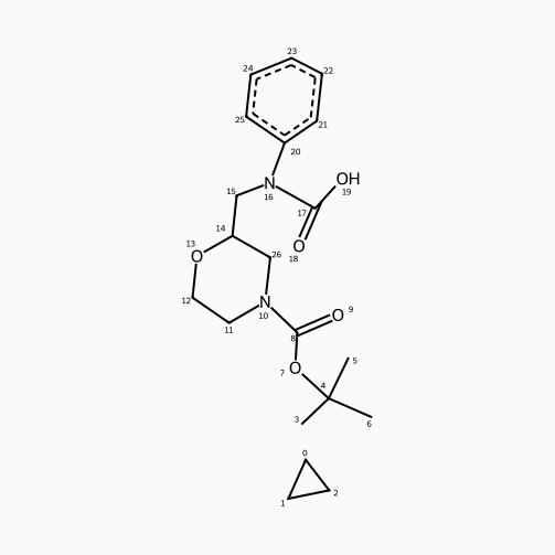 C1CC1.CC(C)(C)OC(=O)N1CCOC(CN(C(=O)O)c2ccccc2)C1